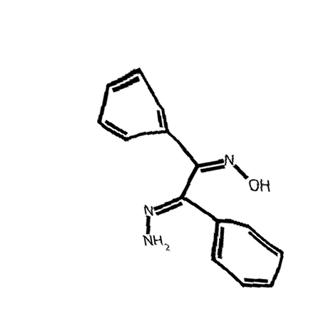 NN=C(C(=NO)c1ccccc1)c1ccccc1